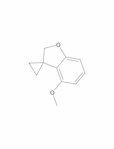 COc1cccc2c1C1(CC1)CO2